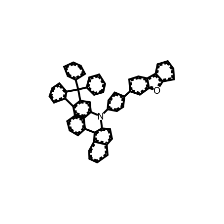 c1ccc(-c2c(N(c3ccc(-c4ccc5c(c4)oc4ccccc45)cc3)c3ccc4c(c3)C(c3ccccc3)(c3ccccc3)c3ccccc3-4)ccc3ccccc23)cc1